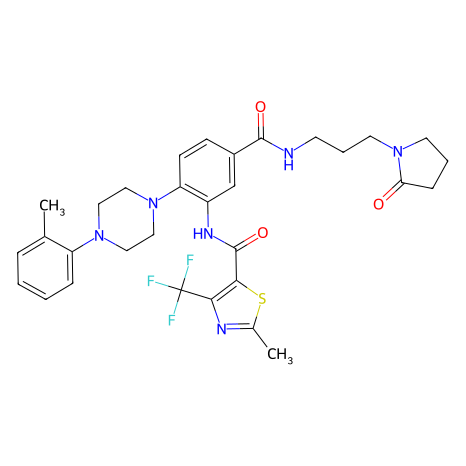 Cc1nc(C(F)(F)F)c(C(=O)Nc2cc(C(=O)NCCCN3CCCC3=O)ccc2N2CCN(c3ccccc3C)CC2)s1